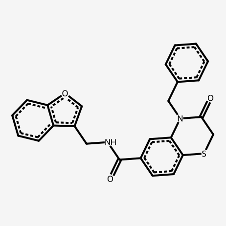 O=C(NCc1coc2ccccc12)c1ccc2c(c1)N(Cc1ccccc1)C(=O)CS2